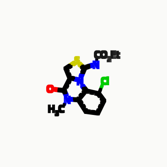 CCOC(=O)/N=c1\scc2c(=O)n(C)c3cccc(Cl)c3n12